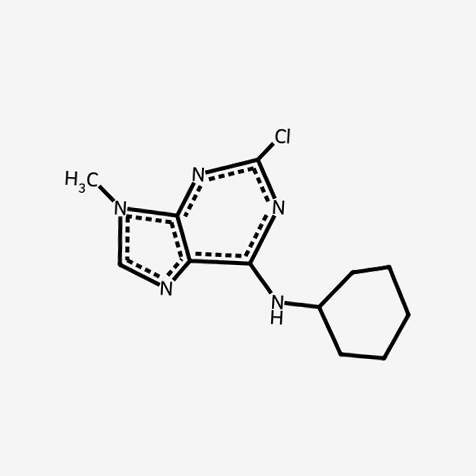 Cn1cnc2c(NC3CCCCC3)nc(Cl)nc21